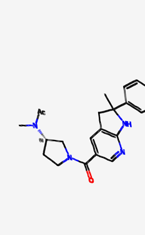 CC(=O)N(C)[C@H]1CCN(C(=O)c2cnc3c(c2)CC(C)(c2ccccc2)N3)C1